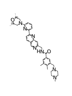 Cc1cc(C(=O)NCc2cc3nc(-c4cccc(N5C[C@@H](C)O[C@@H](C)C5)n4)ccc3cn2)cc(CN2CCN(C)CC2)c1C